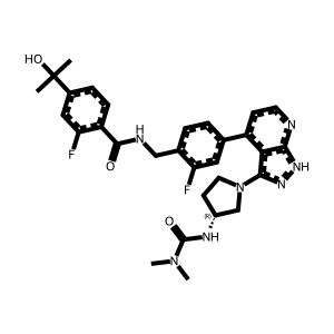 CN(C)C(=O)N[C@@H]1CCN(c2n[nH]c3nccc(-c4ccc(CNC(=O)c5ccc(C(C)(C)O)cc5F)c(F)c4)c23)C1